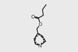 CCCC(=O)OCc1ccncc1